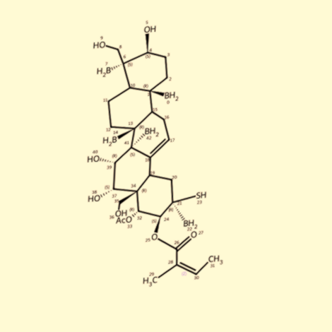 B[C@]12CC[C@H](O)[C@](B)(CO)C1CC[C@]1(B)C2CC=C2C3C[C@@](B)(S)[C@@H](OC(=O)/C(C)=C\C)[C@H](OC(C)=O)[C@]3(CO)[C@H](O)[C@H](O)[C@]21B